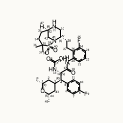 C[C@@H]1CC([C@H](c2ccc(F)cc2)[C@H](NC(=O)O)C(=O)Nc2cccc(F)c2CC[C@H]2CN[C@@H]3CCC(C)(C)S(=O)(=O)N2C3)C[C@H](C)O1